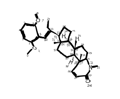 COc1cccc(OC)c1C=C(C)[C@H]1CC[C@H]2[C@@H]3CCC4N(C)C(=O)C=C[C@]4(C)[C@H]3CC[C@]12C